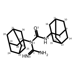 N=C(N)N(C(=O)NC12CC3CC(CC(C3)C1)C2)C12CC3CC(CC(C3)C1)C2